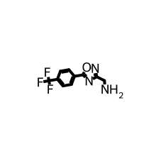 NCc1noc(-c2ccc(C(F)(F)F)cc2)n1